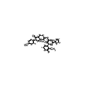 CCC(C)c1ccc(N2CC3CN(CC4=C(C=O)[C@H](c5cccc(F)c5C)N=C(c5nccs5)N4)CCC3C2=O)cc1